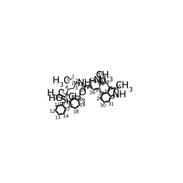 CC[C@@H](CCC(C)(C)[Si](O)(c1ccccc1)c1ccccc1)NC(=O)[C@@H]1C=C2c3cccc4[nH]c(C)c(c34)C[C@H]2N(C)C1